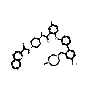 CN1CCCN(Cc2cc(O)ccc2-c2cccc(Oc3ncc(F)cc3C(=O)N[C@H]3CC[C@@H](NC(=O)c4ccc5ccccc5n4)CC3)c2)CC1